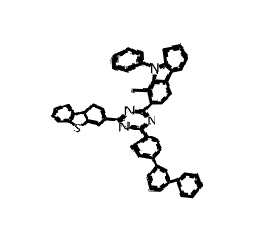 Cc1c(-c2nc(C3=CCC4C(=C3)Sc3ccccc34)nc(-c3ccc(-c4cccc(-c5ccccc5)c4)cc3)n2)ccc2c3ccccc3n(-c3ccccc3)c12